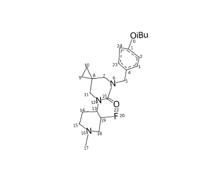 CC(C)COc1ccc(CN2CC3(CC3)CN(C3CCN(C)CC3F)C2=O)cc1